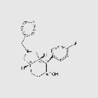 O[C@@H]1CC[C@@H]2CN(Cc3ccccc3)C[C@@H]2[C@H]1c1ccc(F)cc1